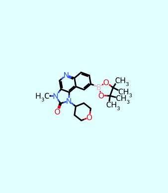 Cn1c(=O)n(C2CCOCC2)c2c3cc(B4OC(C)(C)C(C)(C)O4)ccc3ncc21